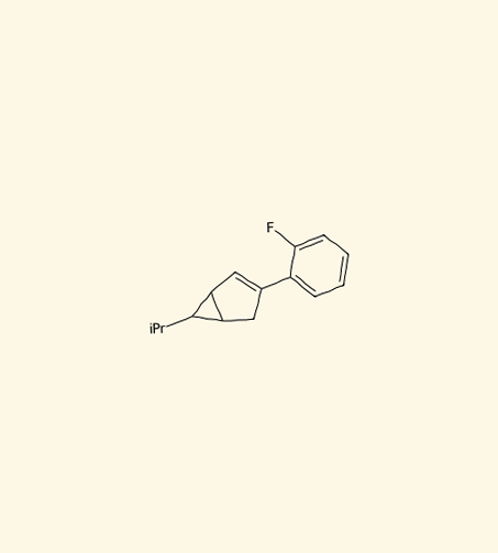 CC(C)C1C2C=C(c3ccccc3F)CC21